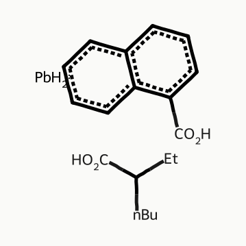 CCCCC(CC)C(=O)O.O=C(O)c1cccc2ccccc12.[PbH2]